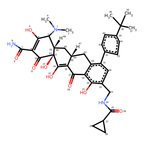 CN(C)C1C(O)=C(C(N)=O)C(=O)[C@@]2(O)C(O)=C3C(=O)c4c(O)c(CNC(=O)C5CC5)cc(-c5ccc(C(C)(C)C)cc5)c4C[C@H]3C[C@@H]12